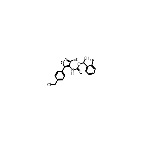 CCc1noc(-c2ccc(CCl)cc2)c1NC(=O)OC(C)c1ccccc1F